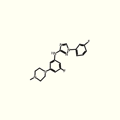 CN1CCN(c2cc(F)cc(Nc3ncn(-c4cccc(F)c4)n3)c2)CC1